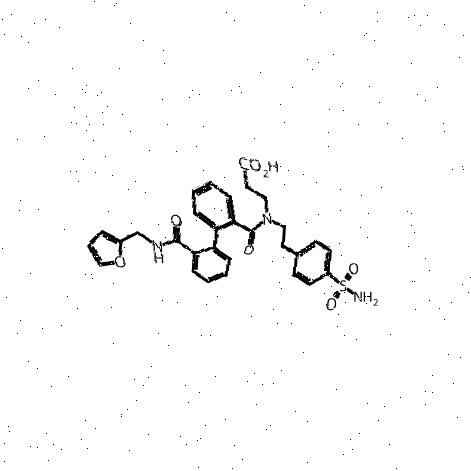 NS(=O)(=O)c1ccc(CCN(CCC(=O)O)C(=O)c2ccccc2-c2ccccc2C(=O)NCc2ccco2)cc1